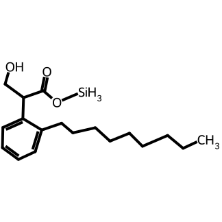 CCCCCCCCCc1ccccc1C(CO)C(=O)O[SiH3]